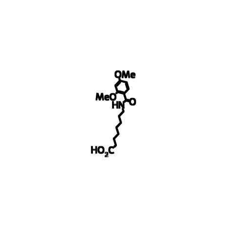 COc1ccc(C(=O)NCCCCCCCC(=O)O)c(OC)c1